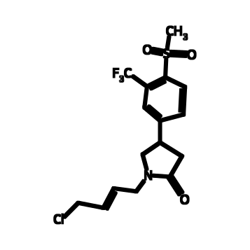 CS(=O)(=O)c1ccc(C2CC(=O)N(CC=CCCl)C2)cc1C(F)(F)F